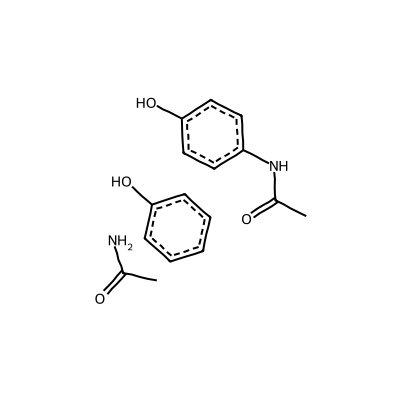 CC(=O)Nc1ccc(O)cc1.CC(N)=O.Oc1ccccc1